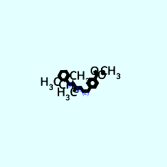 COC(=O)c1ccc(\C=C/C=C(C)/C=C/C2=C(C)CCCC2(C)C)cc1